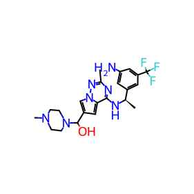 Cc1nc(N[C@H](C)c2cc(N)cc(C(F)(F)F)c2)c2cc(C(O)N3CCN(C)CC3)cn2n1